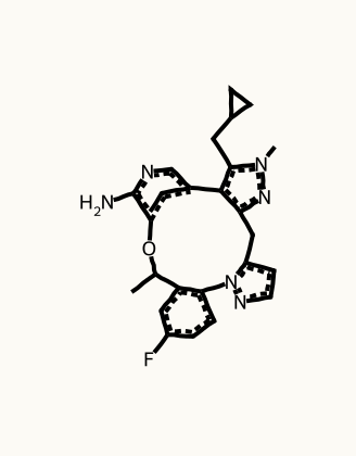 CC1Oc2cc(cnc2N)-c2c(nn(C)c2CC2CC2)Cc2ccnn2-c2ccc(F)cc21